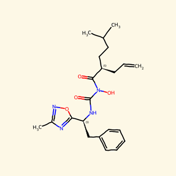 C=CC[C@H](CCC(C)C)C(=O)N(O)C(=O)N[C@@H](Cc1ccccc1)c1nc(C)no1